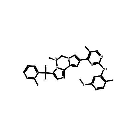 COc1cc(Nc2ncc(C)c(-c3cc4n(c3)C[C@H](C)n3c-4nnc3C(F)(F)c3ccccc3F)n2)c(C)cn1